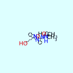 CC(C)(C)NC(=O)N1CC2(C1)C(=O)N(Cc1ncc3ccccc3c1CCCCO)c1ccccc12